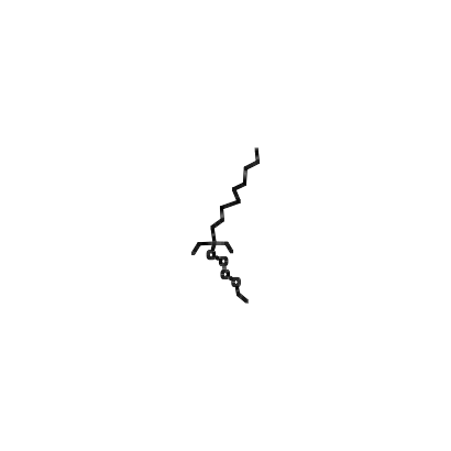 CCCCCCCCCC(CC)(CC)OOOOCC